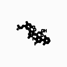 Cc1cc(=O)n([C@@H](CC(C)C)C(=O)N[C@@H](CC(=O)O)c2cc(-c3c(C)cccc3C)cc(F)c2F)cc1CCN(C)C